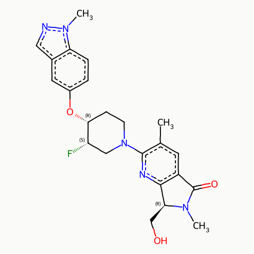 Cc1cc2c(nc1N1CC[C@@H](Oc3ccc4c(cnn4C)c3)[C@@H](F)C1)[C@H](CO)N(C)C2=O